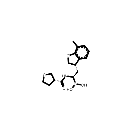 Cc1cccc2c1OC[C@H]2C[C@H](NC(=O)[C@@H]1CCOC1)B(O)O